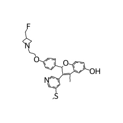 CSc1cncc(C2=C(C)c3cc(O)ccc3OC2c2ccc(OCCN3CC(CF)C3)cc2)c1